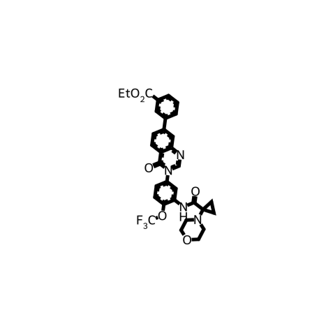 CCOC(=O)c1cccc(-c2ccc3c(=O)n(-c4ccc(OC(F)(F)F)c(NC(=O)C5(N6CCOCC6)CC5)c4)cnc3c2)c1